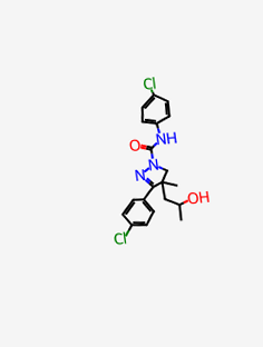 CC(O)CC1(C)CN(C(=O)Nc2ccc(Cl)cc2)N=C1c1ccc(Cl)cc1